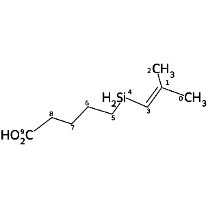 CC(C)=C[SiH2]CCCCC(=O)O